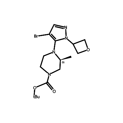 C[C@H]1CN(C(=O)OC(C)(C)C)CCN1c1c(Br)cnn1C1COC1